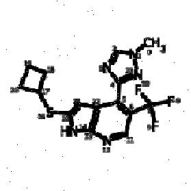 Cn1cnc(-c2c(C(F)(F)F)cnc3[nH]c(SC4CCC4)cc23)n1